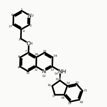 c1cncc(COc2cccc3nc(N[C@@H]4CCc5ccccc54)ccc23)c1